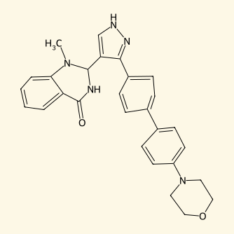 CN1c2ccccc2C(=O)NC1c1c[nH]nc1-c1ccc(-c2ccc(N3CCOCC3)cc2)cc1